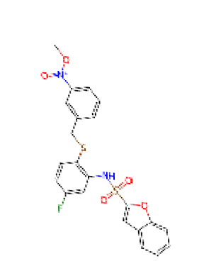 CO[N+](=O)c1cccc(CSc2ccc(F)cc2NS(=O)(=O)c2cc3ccccc3o2)c1